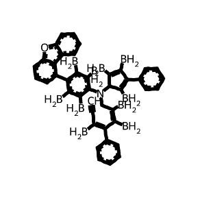 BC1=C(B)C(N(C/C(B)=C(B)\C(=C(\B)C#C)c2ccccc2)c2c(B)c(B)c(-c3cccc4oc5ccccc5c34)c(B)c2B)C(B)=C1c1ccccc1